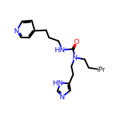 CC(C)CCN(CCc1cnc[nH]1)C(=O)NCCCc1ccncc1